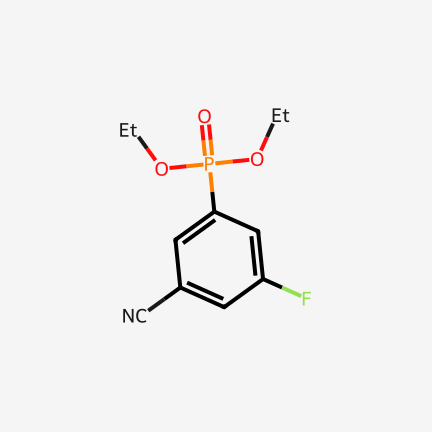 CCOP(=O)(OCC)c1cc(F)cc(C#N)c1